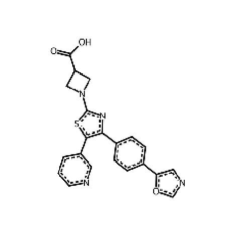 O=C(O)C1CN(c2nc(-c3ccc(-c4cnco4)cc3)c(-c3cccnc3)s2)C1